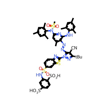 Cc1cc(C)c(Nc2nc(N(c3c(C)cc(C)cc3C)S(C)(=O)=O)cc(C)c2N=Nc2c(C#N)c(C(C)(C)C)nn2-c2nc3ccc(S(=O)(=O)Nc4cc(S(=O)(=O)O)ccc4S(=O)(=O)O)cc3s2)c(C)c1